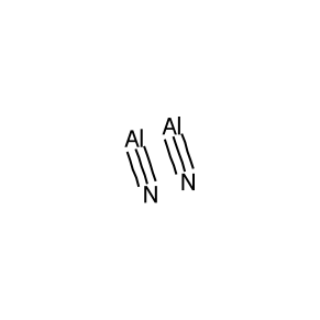 [N]#[Al].[N]#[Al]